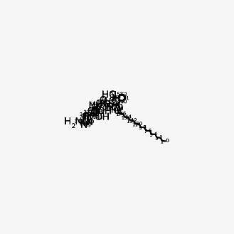 CCCCCCCCCCCCCCCCCCOC[C@H](COP(=O)(O)OC1[C@H]2O[C@@](C)(c3ccc4c(N)ncnn34)[C@H](O)[C@@]12O)NC(=O)c1ccccc1C(=O)O